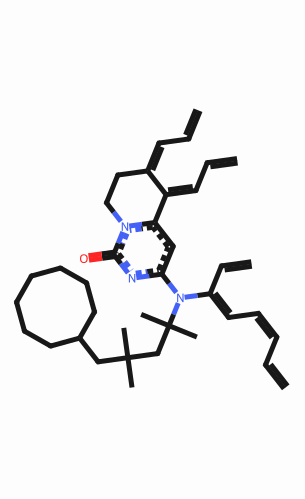 C=C/C=C\C=C(/C=C)N(c1cc2n(c(=O)n1)CCC(=C/C=C)/C2=C\C=C)C(C)(C)CC(C)(C)CC1CCCCCCC1